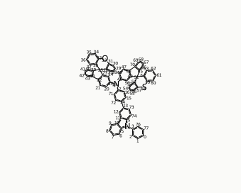 c1ccc(-n2c3ccccc3c3cc(-c4ccc(N(c5ccc6c(c5)C5(c7ccccc7Oc7ccccc75)c5ccccc5-6)c5ccc6c(c5)C5(c7ccccc7Sc7ccccc75)c5ccccc5-6)cc4)ccc32)cc1